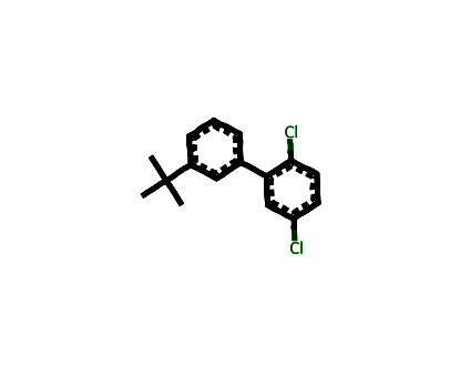 CC(C)(C)c1cccc(-c2cc(Cl)ccc2Cl)c1